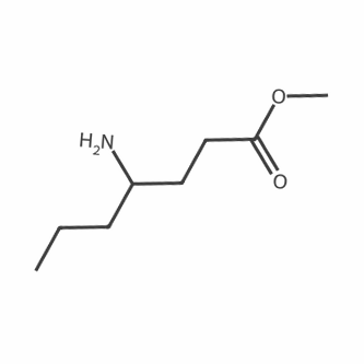 CCCC(N)CCC(=O)OC